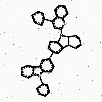 C1=CC2c3cc(-c4ccc5c(c4)c4ccccc4n5-c4ccccc4)ccc3N(c3cc(-c4ccccc4)c4ccccc4n3)C2C=C1